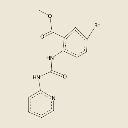 COC(=O)c1cc(Br)ccc1NC(=O)Nc1ccccn1